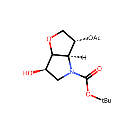 CC(=O)O[C@H]1COC2[C@H](O)CN(C(=O)OC(C)(C)C)[C@@H]21